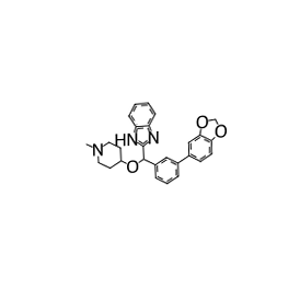 CN1CCC(OC(c2cccc(-c3ccc4c(c3)OCO4)c2)c2nc3ccccc3[nH]2)CC1